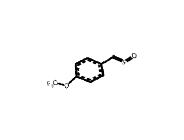 O=S=[C]c1ccc(OC(F)(F)F)cc1